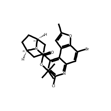 Cc1cc2c(o1)c(Br)cc1nc(Cl)nc(N3C[C@H]4CC[C@@H](C3)N4C(=O)OC(C)(C)C)c12